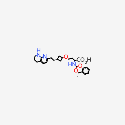 C[C@H](OC(=O)NC(CCO[C@H]1C[C@H](CCc2ccc3c(n2)NCCC3)C1)C(=O)O)c1ccccc1